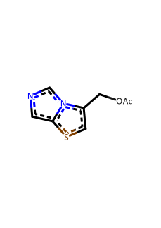 CC(=O)OCc1csc2cncn12